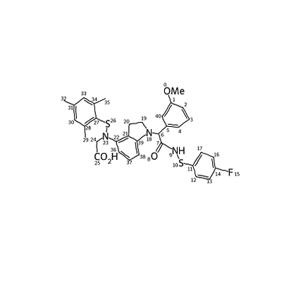 COc1cccc(C(C(=O)NSc2ccc(F)cc2)N2CCc3c(N(CC(=O)O)Sc4c(C)cc(C)cc4C)cccc32)c1